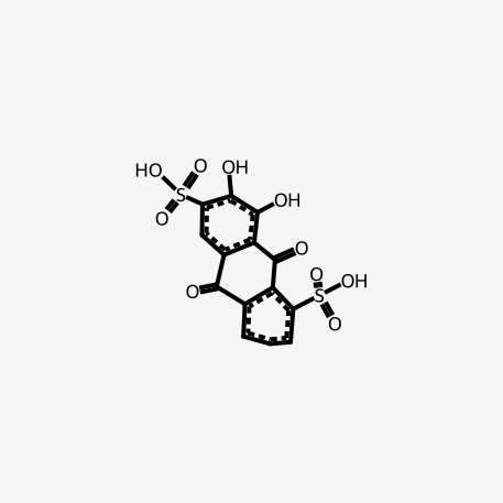 O=C1c2cccc(S(=O)(=O)O)c2C(=O)c2c1cc(S(=O)(=O)O)c(O)c2O